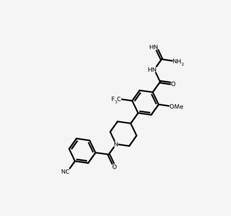 COc1cc(C2CCN(C(=O)c3cccc(C#N)c3)CC2)c(C(F)(F)F)cc1C(=O)NC(=N)N